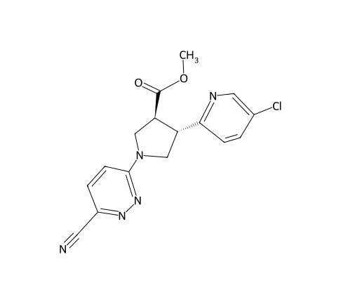 COC(=O)[C@@H]1CN(c2ccc(C#N)nn2)C[C@H]1c1ccc(Cl)cn1